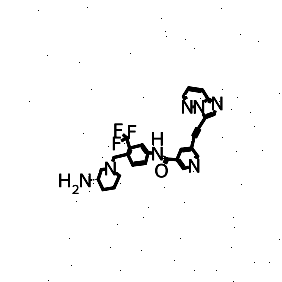 N[C@H]1CCCN(Cc2ccc(NC(=O)c3cncc(C#Cc4cnc5cccnn45)c3)cc2C(F)(F)F)C1